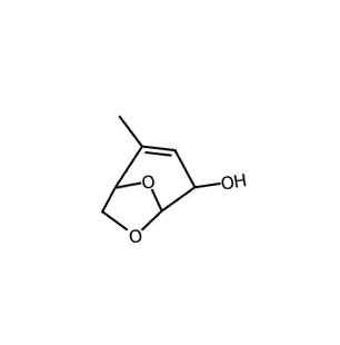 CC1=CC(O)C2OCC1O2